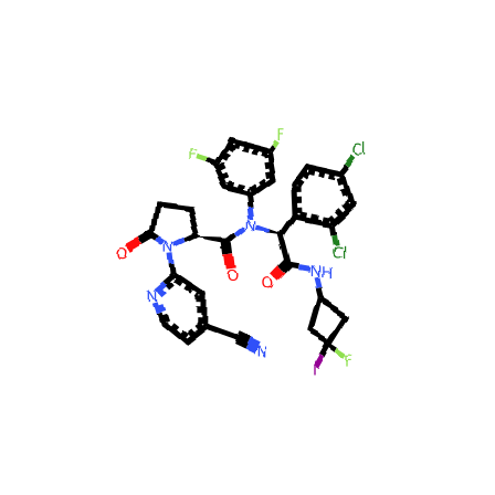 N#Cc1ccnc(N2C(=O)CC[C@H]2C(=O)N(c2cc(F)cc(F)c2)[C@H](C(=O)NC2CC(F)(I)C2)c2ccc(Cl)cc2Cl)c1